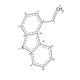 C=Cc1cccc2sc3ccccc3c12